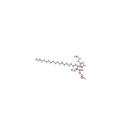 CCCCCCCCCCCCCCCCCC(C1=NCCN1CCO)C(C)C(=O)OCC